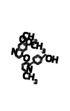 COc1cc2nccc(Oc3ccc(C)nc3-c3ccc(CO)cc3)c2cc1OC